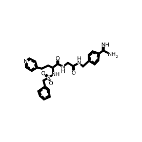 N=C(N)c1ccc(CNC(=O)CNC(=O)C(CCc2ccncc2)NS(=O)(=O)Cc2ccccc2)cc1